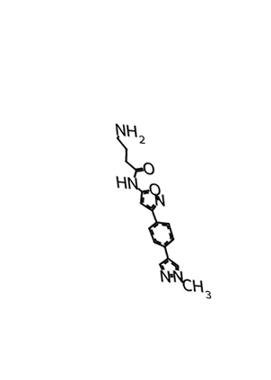 Cn1cc(-c2ccc(-c3cc(NC(=O)CCCN)on3)cc2)cn1